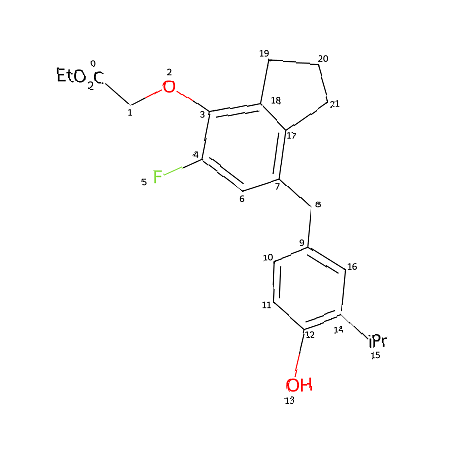 CCOC(=O)COc1c(F)cc(Cc2ccc(O)c(C(C)C)c2)c2c1CCC2